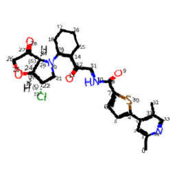 Cc1cc(-c2ccc(C(=O)NCC(=O)C3CCCCC3N3C[C@H](Cl)[C@H]4OCC(=O)[C@H]43)s2)c(C)cn1